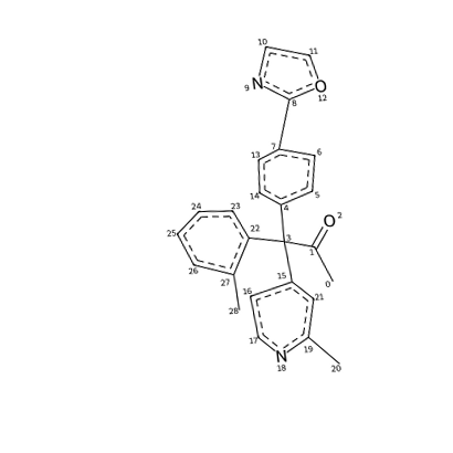 CC(=O)C(c1ccc(-c2ncco2)cc1)(c1ccnc(C)c1)c1ccccc1C